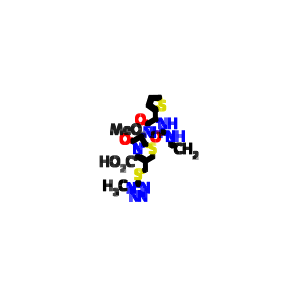 C=CNC(=O)NC(C(=O)N[C@]1(OC)C(=O)N2C(C(=O)O)=C(CSc3nnnn3C)CSC21)c1cccs1